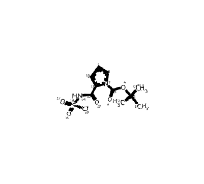 CC(C)(C)OC(=O)n1cccc1C(=O)NS(=O)(=O)Cl